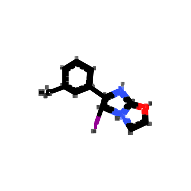 Cc1cccc(-c2nc3occn3c2I)c1